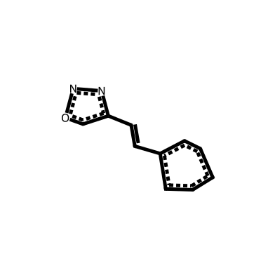 C(=Cc1conn1)c1ccccc1